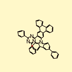 c1ccc(-c2ccc3c(c2)c2ccccc2n3-c2cc3c4ccccc4c4ccccc4c3cc2-c2nc(-c3ccccc3)nc(-c3ccccc3)n2)cc1